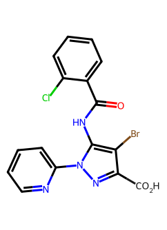 O=C(Nc1c(Br)c(C(=O)O)nn1-c1ccccn1)c1ccccc1Cl